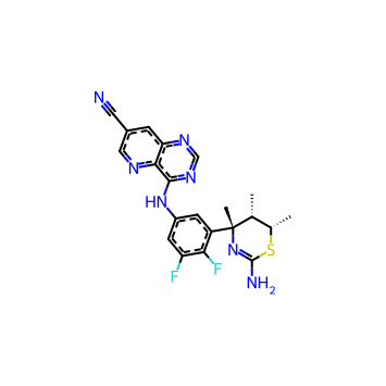 C[C@@H]1SC(N)=N[C@](C)(c2cc(Nc3ncnc4cc(C#N)cnc34)cc(F)c2F)[C@@H]1C